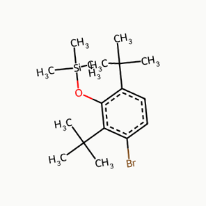 CC(C)(C)c1ccc(Br)c(C(C)(C)C)c1O[Si](C)(C)C